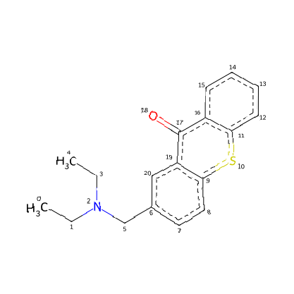 CCN(CC)Cc1ccc2sc3ccccc3c(=O)c2c1